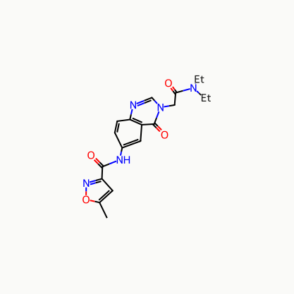 CCN(CC)C(=O)Cn1cnc2ccc(NC(=O)c3cc(C)on3)cc2c1=O